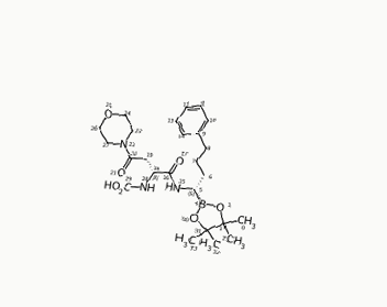 CC1(C)OB([C@@H](CCCc2ccccc2)NC(=O)[C@@H](CC(=O)N2CCOCC2)NC(=O)O)OC1(C)C